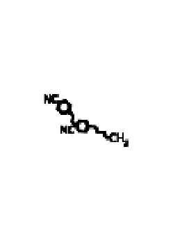 C=CCCCC1CCC(C#N)(CCC2CCC(C#N)CC2)CC1